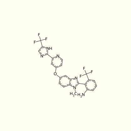 Cn1c(-c2c(N)cccc2C(F)(F)F)nc2cc(Oc3ccnc(-c4ncc(C(F)(F)F)[nH]4)c3)ccc21